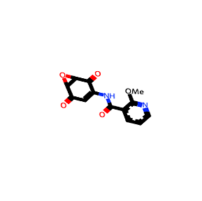 COc1ncccc1C(=O)NC1=CC(=O)C2OC2C1=O